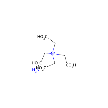 N.O=C(O)C[N+](CC(=O)O)(CC(=O)O)CC(=O)O